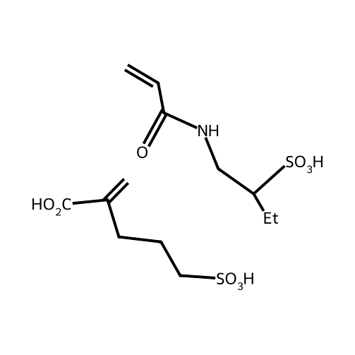 C=C(CCCS(=O)(=O)O)C(=O)O.C=CC(=O)NCC(CC)S(=O)(=O)O